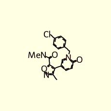 CNC(=O)c1onc(C)c1-c1ccc(=O)n(Cc2ccc(Cl)cc2)c1